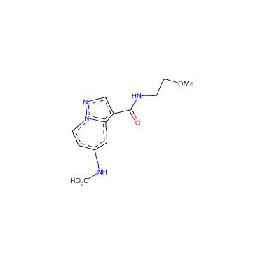 COCCNC(=O)c1cnn2ccc(NC(=O)O)cc12